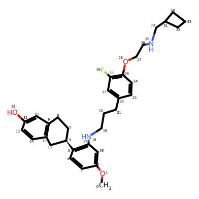 COc1ccc([C@@H]2CCc3cc(O)ccc3C2)c(NCCCc2ccc(OCCNCC3CCC3)c(F)c2)c1